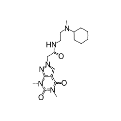 CN(CCNC(=O)Cn1cc2c(=O)n(C)c(=O)n(C)c2n1)C1CCCCC1